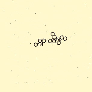 c1ccc(-c2nc3cc(-c4ccc5oc6c(-n7c8ccccc8c8c9ccccc9ccc87)cc7ccccc7c6c5c4)ccc3o2)cc1